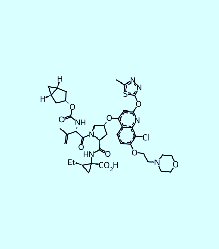 C=C(C)[C@H](NC(=O)O[C@@H]1C[C@@H]2C[C@@H]2C1)C(=O)N1C[C@H](Oc2cc(Oc3nnc(C)s3)nc3c(Cl)c(OCCN4CCOCC4)ccc23)C[C@H]1C(=O)N[C@]1(C(=O)O)C[C@H]1CC